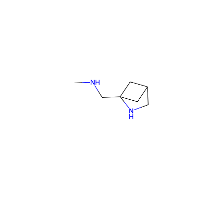 CNCC12CC(CN1)C2